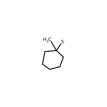 CC1([S])CCCCC1